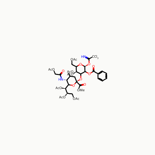 COC(=O)[C@@]1(OC2C(OC(=O)c3ccccc3)[C@H](OC(=N)C(Cl)(Cl)Cl)OC(COC(C)=O)[C@@H]2OC(C)=O)CC(OC(C)=O)[C@@H](NC(=O)COC(C)=O)C([C@H](OC(C)=O)[C@@H](COC(C)=O)OC(C)=O)O1